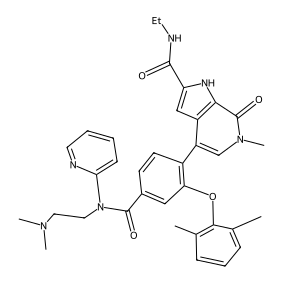 CCNC(=O)c1cc2c(-c3ccc(C(=O)N(CCN(C)C)c4ccccn4)cc3Oc3c(C)cccc3C)cn(C)c(=O)c2[nH]1